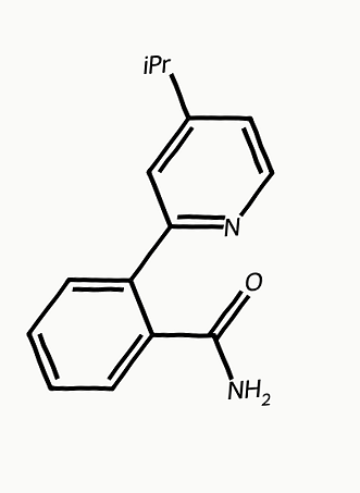 CC(C)c1ccnc(-c2ccccc2C(N)=O)c1